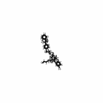 CCCCNc1nc(OCCN(C)c2ccc(-c3nc4ccccc4s3)cc2)nc(Sc2ccc(C)cc2)n1